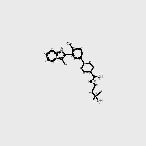 Cc1c(-c2cc(N3CCC(C(O)NCCC(C)(C)O)CC3)ccc2Cl)nc2ccccn12